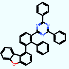 c1ccc(-c2nc(-c3ccccc3)nc(-c3cccc(-c4cccc5oc6ccccc6c45)c3-c3ccccc3)n2)cc1